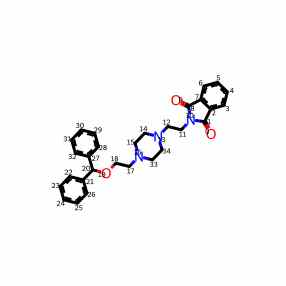 O=C1c2ccccc2C(=O)N1CCN1CCN(CCOC(c2ccccc2)c2ccccc2)CC1